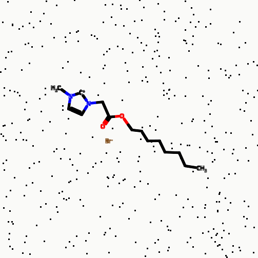 CCCCCCCCOC(=O)CN1[C+]N(C)C=C1.[Br-]